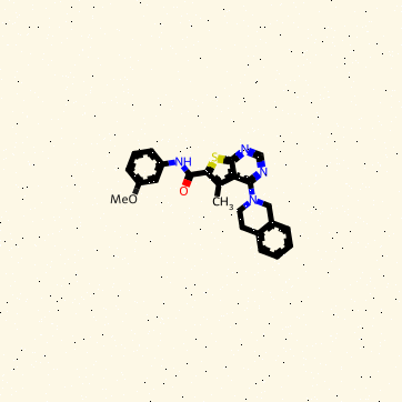 COc1cccc(NC(=O)c2sc3ncnc(N4CCc5ccccc5C4)c3c2C)c1